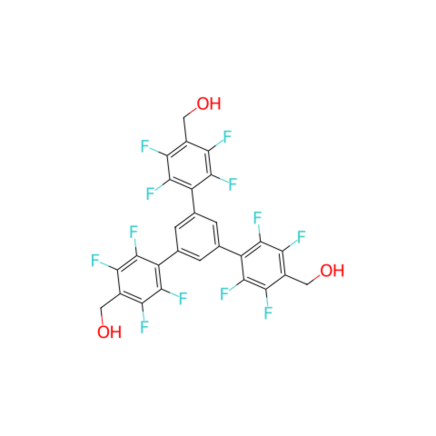 OCc1c(F)c(F)c(-c2cc(-c3c(F)c(F)c(CO)c(F)c3F)cc(-c3c(F)c(F)c(CO)c(F)c3F)c2)c(F)c1F